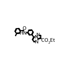 CCOC(=O)c1cnn2c(-c3cccc(NC(=O)c4cccc(C)c4)c3)ccnc12